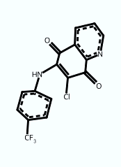 O=C1C(Nc2ccc(C(F)(F)F)cc2)=C(Cl)C(=O)c2ncccc21